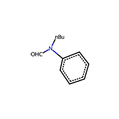 CCCCN([C]=O)c1ccccc1